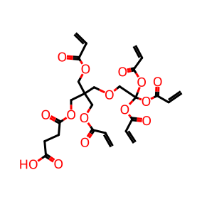 C=CC(=O)OCC(COCC(OC(=O)C=C)(OC(=O)C=C)OC(=O)C=C)(COC(=O)C=C)COC(=O)CCC(=O)O